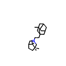 CC12CC3CC(C1)CC(CCN1CC4CC[C@@](C)(C1)C4(C)C)(C3)C2